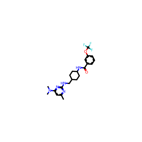 Cc1cc(N(C)C)nc(NCC2CCC(NC(=O)c3cccc(OC(F)(F)F)c3)CC2)n1